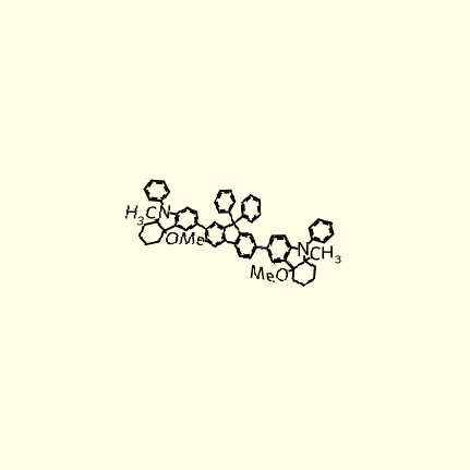 COC12CCCCC1(C)N(c1ccccc1)c1ccc(-c3ccc4c(c3)C(c3ccccc3)(c3ccccc3)c3cc(-c5ccc6c(c5)C5(OC)CCCCC5(C)N6c5ccccc5)ccc3-4)cc12